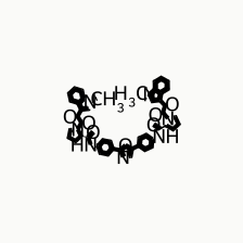 Cn1cc(C(=O)C(=O)N2CCC[C@H]2C(=O)Nc2ccc(-c3cnc(-c4ccc(NC(=O)[C@@H]5CCCN5C(=O)C(=O)c5cn(C)c6ccccc56)cc4)o3)cc2)c2ccccc21